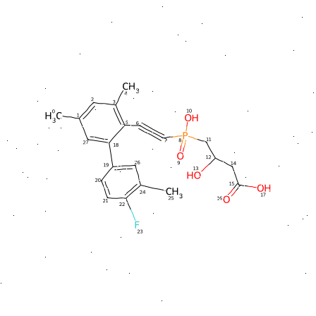 Cc1cc(C)c(C#CP(=O)(O)CC(O)CC(=O)O)c(-c2ccc(F)c(C)c2)c1